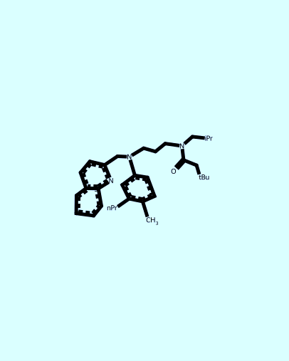 CCCc1cc(N(CCCN(CC(C)C)C(=O)CC(C)(C)C)Cc2ccc3ccccc3n2)ccc1C